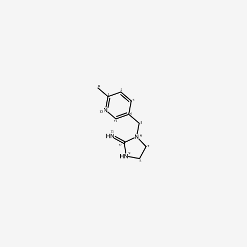 Cc1ccc(CN2CCNC2=N)cn1